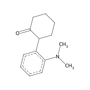 CN(C)c1ccccc1C1CCCCC1=O